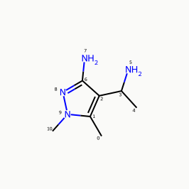 Cc1c(C(C)N)c(N)nn1C